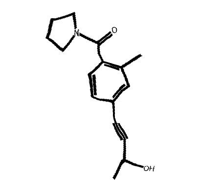 Cc1cc(C#CC(C)O)ccc1C(=O)N1CCCC1